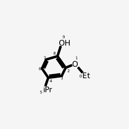 CCOc1cc(C(C)C)ccc1O